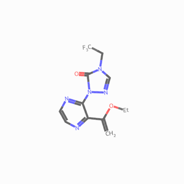 C=C(OCC)c1nccnc1-n1ncn(CC(F)(F)F)c1=O